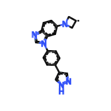 [CH]1CN(c2ccc3ncn(-c4ccc(-c5cn[nH]c5)cc4)c3c2)C1